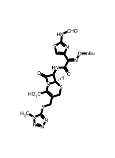 CCCCO/N=C(/C(=O)NC1C(=O)N2C(C(=O)O)=C(CSc3nnnn3C)CS[C@H]12)c1csc(NC=O)n1